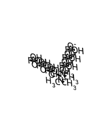 CN(C)C(Cl)=[N+](C)C.O=P(O)(O)F.O=P(O)(O)F.O=P(O)(O)F.O=P(O)(O)F.O=P(O)(O)F.O=P([O-])(O)F